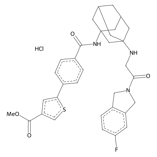 COC(=O)c1csc(-c2ccc(C(=O)NC34CC5CC(CC(NCC(=O)N6Cc7ccc(F)cc7C6)(C5)C3)C4)cc2)c1.Cl